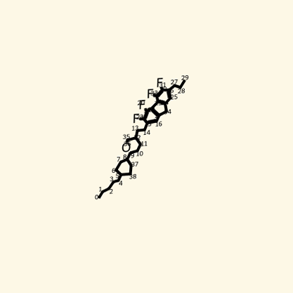 CCCCCC1CCC(C2CCC(CCc3cc4c(c(F)c3F)-c3c(cc(CCC)c(F)c3F)C4)CO2)CC1